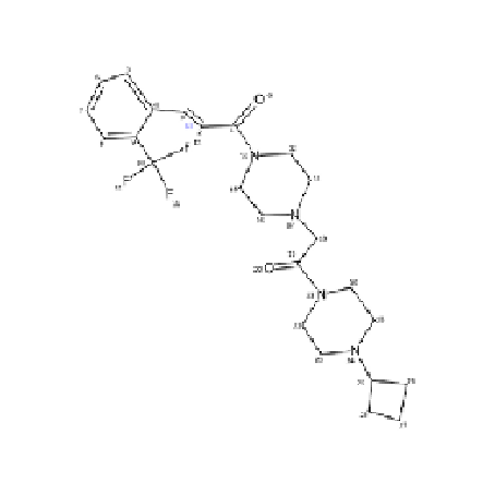 O=C(/C=C/c1ccccc1C(F)(F)F)N1CCN(CC(=O)N2CCN(C3CCC3)CC2)CC1